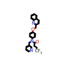 O=C(CCC(F)(F)F)N(Cc1cccnc1)c1ccc(OCc2ccc3ccccc3n2)cc1